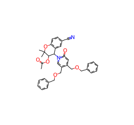 CC(=O)OC1C(n2cc(COCc3ccccc3)c(COCc3ccccc3)cc2=O)c2cc(C#N)ccc2OC1(C)C